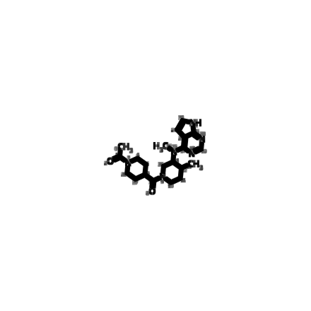 CC(=O)N1CCC(C(=O)N2CCC(C)C(N(C)c3ncnc4[nH]ccc34)C2)CC1